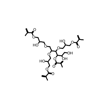 C=C(C)C(=O)OCC(O)COCC(OCC(O)COC(=O)C(=C)C)C(OCC(O)COC(=O)C(=C)C)C(OC(=O)C(=C)C)C(O)CO